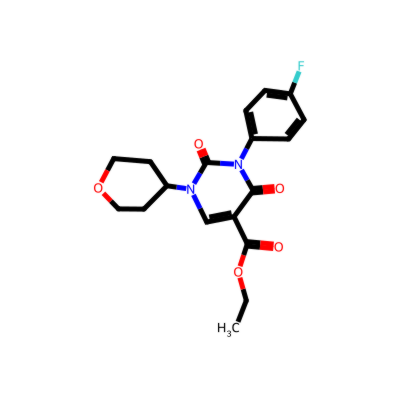 CCOC(=O)c1cn(C2CCOCC2)c(=O)n(-c2ccc(F)cc2)c1=O